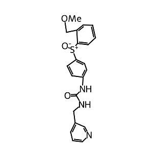 COCc1ccccc1[S+]([O-])c1ccc(NC(=O)NCc2cccnc2)cc1